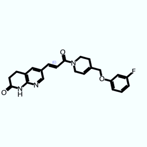 O=C1CCc2cc(/C=C/C(=O)N3CC=C(COc4cccc(F)c4)CC3)cnc2N1